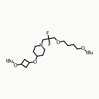 CC(C)(C)OCCCCOCC(F)(F)CN1CCC(OC2CC(OC(C)(C)C)C2)CC1